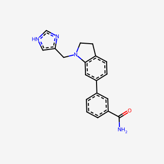 NC(=O)c1cccc(-c2ccc3c(c2)N(Cc2c[nH]cn2)CC3)c1